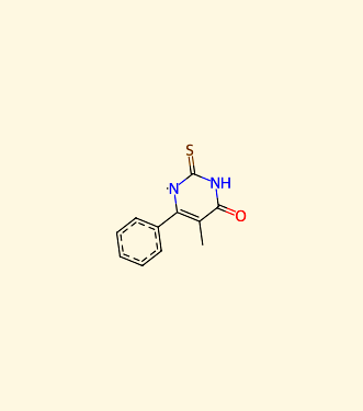 CC1=C(c2ccccc2)[N]C(=S)NC1=O